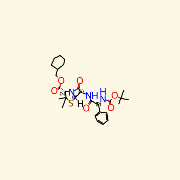 CC(C)(C)OC(=O)N[C@@H](C(=O)N[C@@H]1C(=O)N2[C@@H]1SC(C)(C)[C@@H]2C(=O)OCC1CCCCC1)c1ccccc1